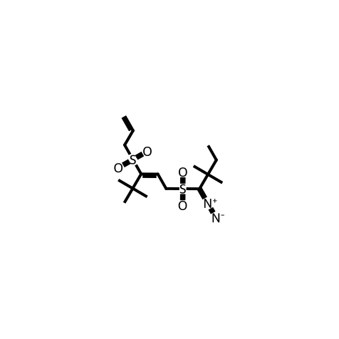 C=CCS(=O)(=O)C(=CCS(=O)(=O)C(=[N+]=[N-])C(C)(C)CC)C(C)(C)C